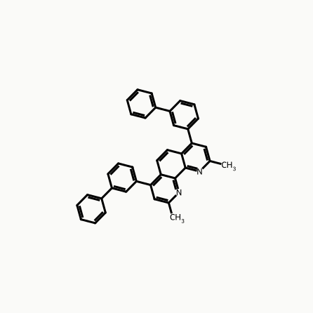 Cc1cc(-c2cccc(-c3ccccc3)c2)c2ccc3c(-c4cccc(-c5ccccc5)c4)cc(C)nc3c2n1